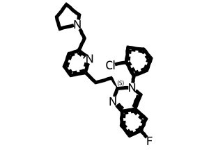 Fc1ccc2c(c1)=CN(c1ccccc1Cl)[C@H](CCc1cccc(CN3CCCC3)n1)N=2